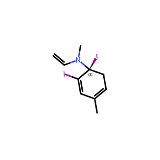 C=CN(C)[C@]1(I)CC=C(C)C=C1I